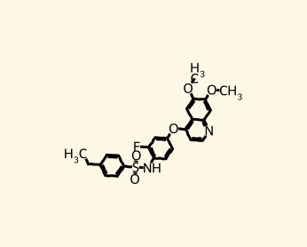 CCc1ccc(S(=O)(=O)Nc2ccc(Oc3ccnc4cc(OC)c(OC)cc34)cc2F)cc1